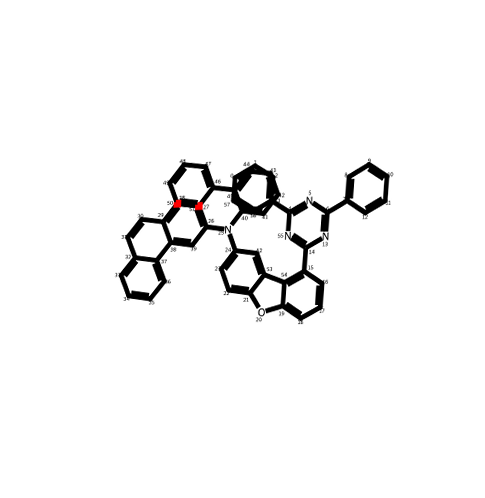 c1ccc(-c2nc(-c3ccccc3)nc(-c3cccc4oc5ccc(N(c6ccc7ccc8ccccc8c7c6)c6ccccc6-c6ccccc6)cc5c34)n2)cc1